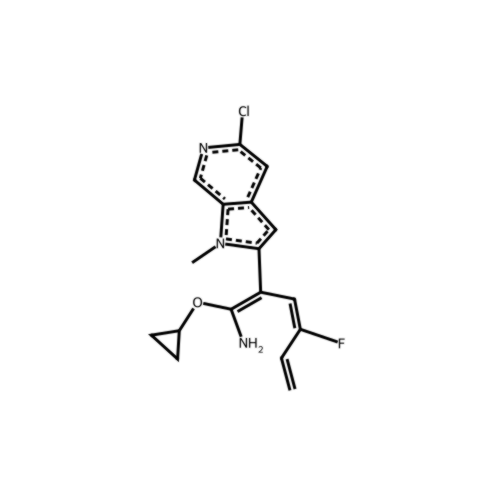 C=C/C(F)=C\C(=C(/N)OC1CC1)c1cc2cc(Cl)ncc2n1C